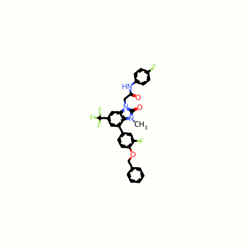 Cn1c(=O)n(CC(=O)Nc2ccc(F)cc2)c2cc(C(F)(F)F)cc(-c3ccc(OCc4ccccc4)c(F)c3)c21